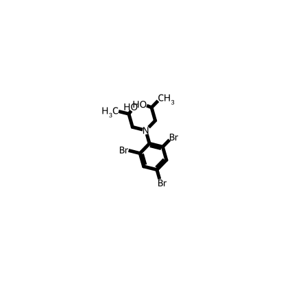 CC(O)CN(CC(C)O)c1c(Br)cc(Br)cc1Br